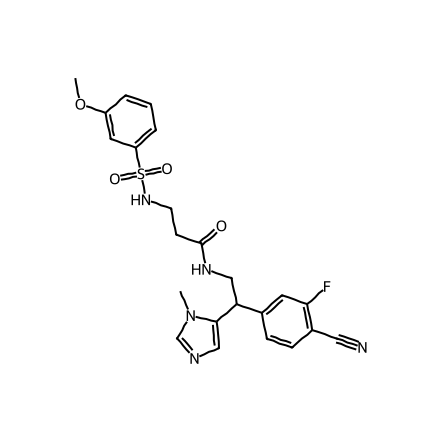 COc1cccc(S(=O)(=O)NCCC(=O)NCC(c2ccc(C#N)c(F)c2)c2cncn2C)c1